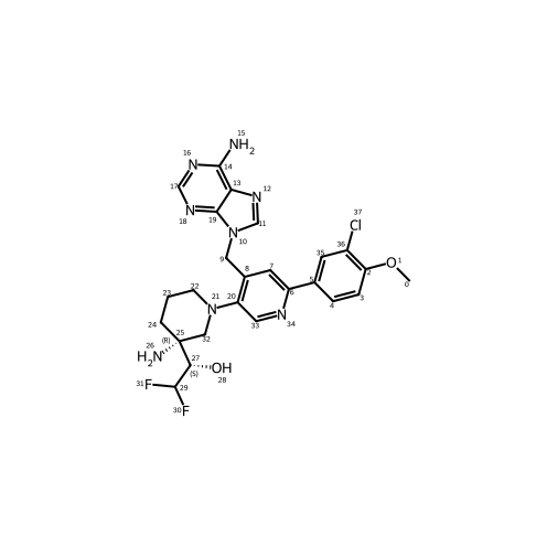 COc1ccc(-c2cc(Cn3cnc4c(N)ncnc43)c(N3CCC[C@](N)([C@H](O)C(F)F)C3)cn2)cc1Cl